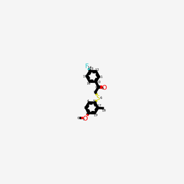 COc1ccc(SCC(=O)c2ccc(F)cc2)c(C)c1